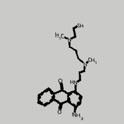 CN(CCS)CCCN(C)CCCNc1ccc(N)c2c1C(=O)c1ccccc1C2=O